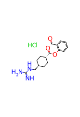 Cl.N=C(N)NC[C@H]1CC[C@H](C(=O)Oc2ccccc2C=O)CC1